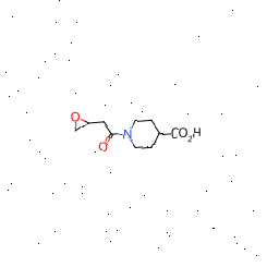 O=C(O)C1CCN(C(=O)CC2CO2)CC1